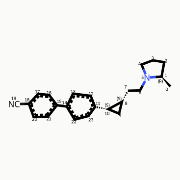 C[C@@H]1CCCN1CC[C@@H]1C[C@@H]1c1ccc(-c2ccc(C#N)cc2)cc1